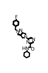 O=C(NC1CCCCC1)c1cncc(N2Cc3cn(Cc4ccc(F)cc4)nc3C2)n1